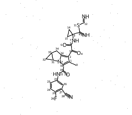 Cc1c(C(=O)C(=O)NC2(C(=N)SC=N)CC2)c2n(c1C(=O)Nc1ccc(F)c(C#N)c1)C1CC1C2